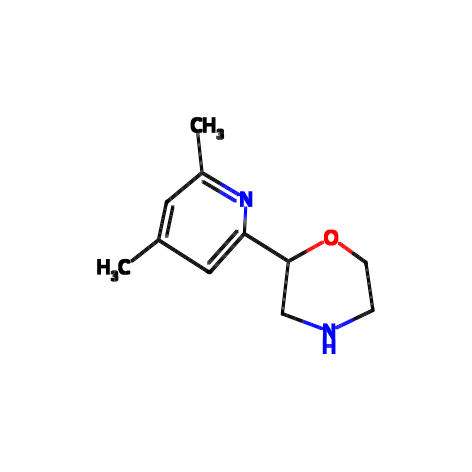 Cc1cc(C)nc(C2CNCCO2)c1